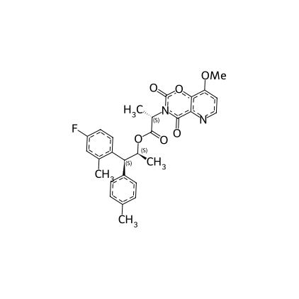 COc1ccnc2c(=O)n([C@@H](C)C(=O)O[C@@H](C)[C@@H](c3ccc(C)cc3)c3ccc(F)cc3C)c(=O)oc12